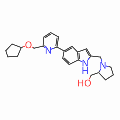 OCC1CCCN1Cc1cc2cc(-c3cccc(COC4CCCC4)n3)ccc2[nH]1